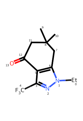 CCn1nc(C(F)(F)F)c2c1CC(C)(C)CC2=O